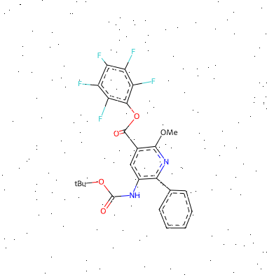 COc1nc(-c2ccccc2)c(NC(=O)OC(C)(C)C)cc1C(=O)Oc1c(F)c(F)c(F)c(F)c1F